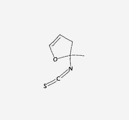 CC1(N=C=S)CC=CO1